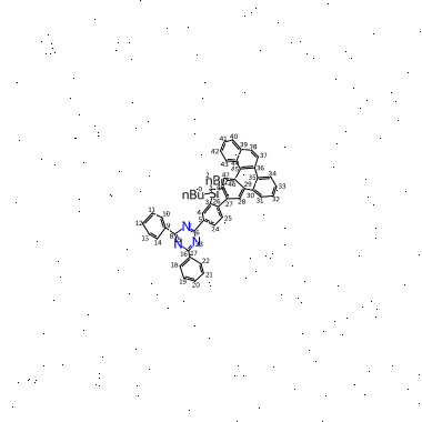 CCCC[Si]1(CCCC)c2cc(-c3nc(-c4ccccc4)nc(-c4ccccc4)n3)ccc2-c2cc3c4ccccc4c4ccc5ccccc5c4c3cc21